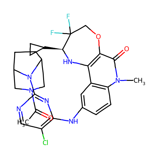 CC(=O)N1CC2CCC(C1)N2c1ncc(Cl)c(Nc2ccc3c(c2)c2c(c(=O)n3C)OCC(F)(F)[C@H](C3CC3)N2)n1